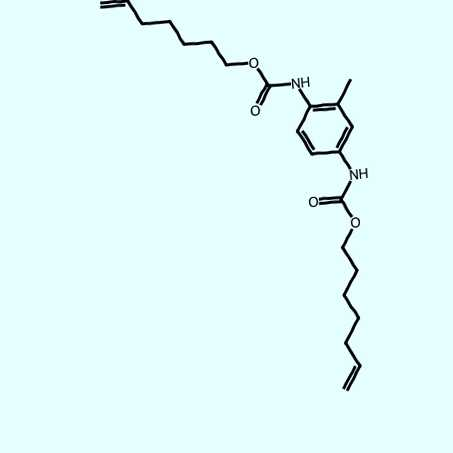 C=CCCCCCOC(=O)Nc1ccc(NC(=O)OCCCCCC=C)c(C)c1